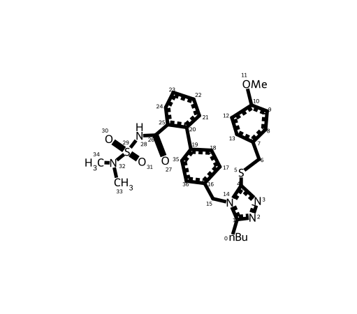 CCCCc1nnc(SCc2ccc(OC)cc2)n1Cc1ccc(-c2ccccc2C(=O)NS(=O)(=O)N(C)C)cc1